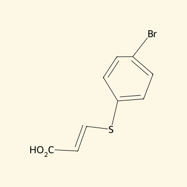 O=C(O)/C=C/Sc1ccc(Br)cc1